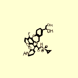 O=C(NS(=O)(=O)C1CC1)c1c(-c2ccc[nH]c2=O)c2c3occc3c(F)cc2n1Cc1cc(C(O)CO)ccc1F